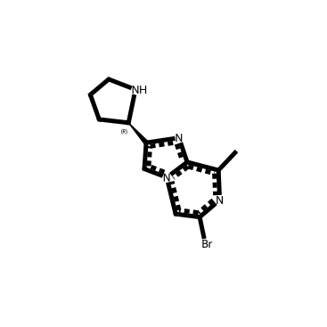 Cc1nc(Br)cn2cc([C@H]3CCCN3)nc12